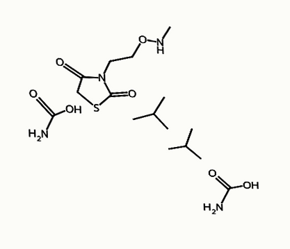 CC(C)C.CC(C)C.CNOCCN1C(=O)CSC1=O.NC(=O)O.NC(=O)O